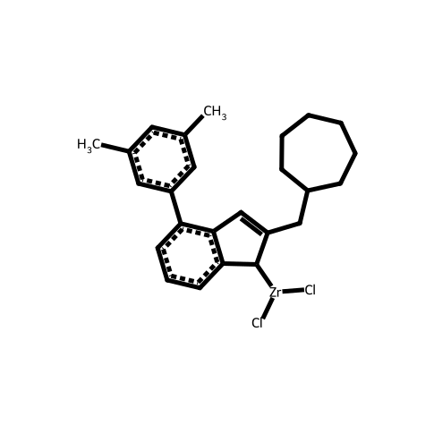 Cc1cc(C)cc(-c2cccc3c2C=C(CC2CCCCCC2)[CH]3[Zr]([Cl])[Cl])c1